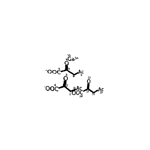 CC(=O)CC(=O)C(=O)[O-].CC(=O)CC(=O)C(=O)[O-].CC(=O)CC(=O)C(=O)[O-].[Ga+3]